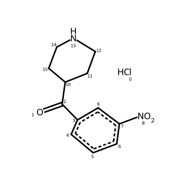 Cl.O=C(c1cccc([N+](=O)[O-])c1)C1CCNCC1